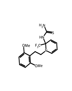 COc1cccc(OC)c1CCN1C=CC=CC1(NC(N)=S)C(F)(F)F